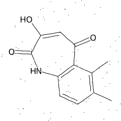 Cc1ccc2[nH]c(=O)c(O)cc(=O)c2c1C